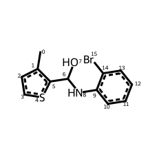 Cc1ccsc1C(O)Nc1ccccc1Br